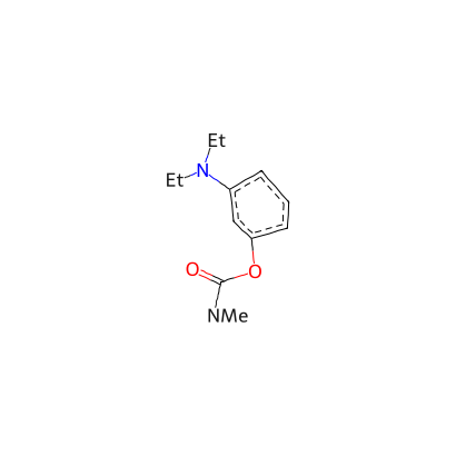 CCN(CC)c1cccc(OC(=O)NC)c1